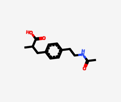 CC(=O)NCCc1ccc(CC(C)C(=O)O)cc1